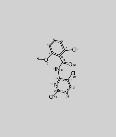 COc1cccc(Cl)c1C(=O)Nc1nc(Cl)ncc1Cl